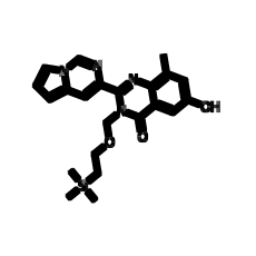 Cc1cc(O)cc2c(=O)n(COCC[Si](C)(C)C)c(-c3cc4cccn4cn3)nc12